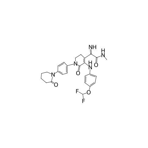 CNC(=O)C(=N)C1=C(Nc2ccc(OC(F)F)cc2)C(=O)N(c2ccc(N3CCCCC3=O)cc2)CC1